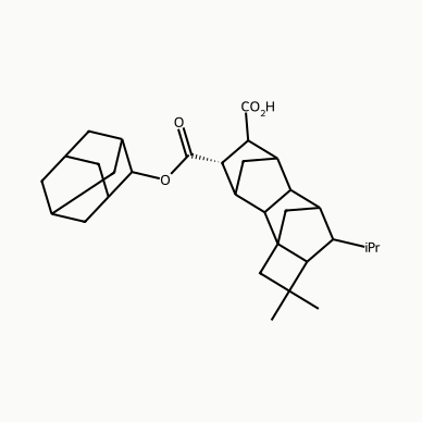 CC(C)C1C2CC3(CC(C)(C)C13)C1C2C2CC1[C@H](C(=O)OC1C3CC4CC(C3)CC1C4)C2C(=O)O